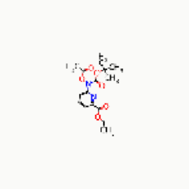 CCOC(=O)c1cccc(N(OC(C)=O)C(=O)OC(C)(C)C)n1